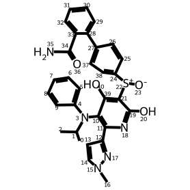 CC(C)N(c1ccccc1)c1c(-c2ccn(C)n2)nc(O)c([S+]([O-])c2ccc(-c3ccccc3C(N)=O)cc2)c1O